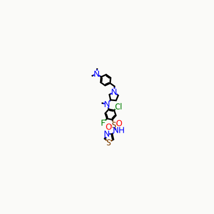 CN(C)c1ccc(CN2CCC(N(C)c3cc(F)c(S(=O)(=O)Nc4cscn4)cc3Cl)C2)cc1